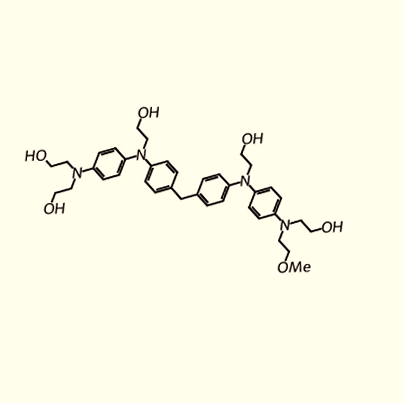 COCCN(CCO)c1ccc(N(CCO)c2ccc(Cc3ccc(N(CCO)c4ccc(N(CCO)CCO)cc4)cc3)cc2)cc1